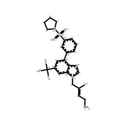 NC/C=C(\F)Cn1cnc2c(-c3cccc(S(=O)(=O)N4CCCC4)c3)cc(C(F)(F)F)cc21